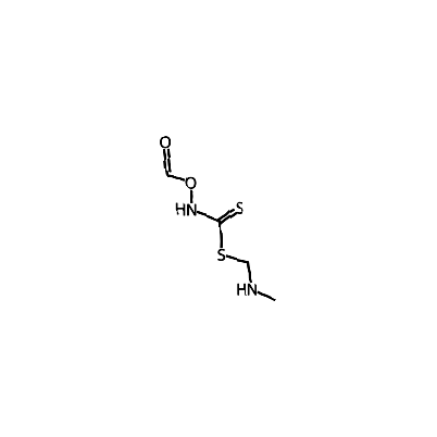 CNCSC(=S)NOC=O